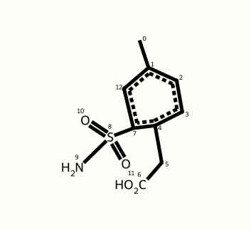 Cc1ccc(CC(=O)O)c(S(N)(=O)=O)c1